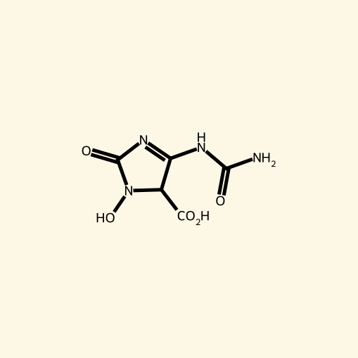 NC(=O)NC1=NC(=O)N(O)C1C(=O)O